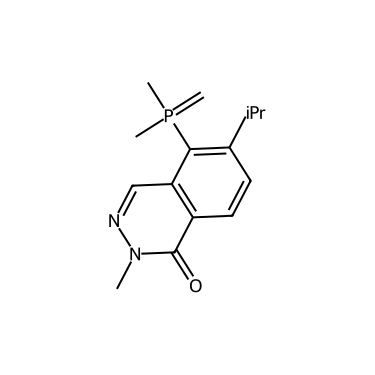 C=P(C)(C)c1c(C(C)C)ccc2c(=O)n(C)ncc12